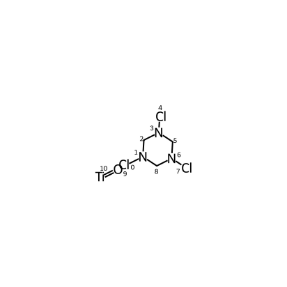 ClN1CN(Cl)CN(Cl)C1.[O]=[Ti]